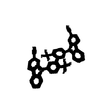 N#Cc1ccc2c3ccccc3n(-c3ccc(C(F)(F)F)c(-c4cc(-n5c6ccccc6c6ccc(C#N)cc65)ccc4C(F)(F)F)c3)c2c1